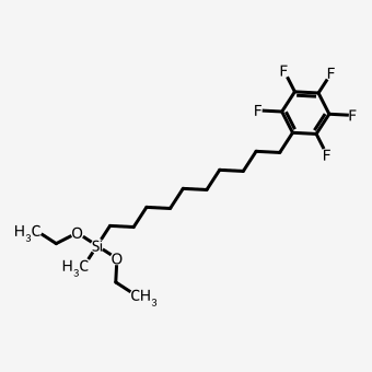 CCO[Si](C)(CCCCCCCCCCc1c(F)c(F)c(F)c(F)c1F)OCC